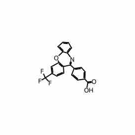 O=C(O)c1ccc(C2=Nc3ccccc3Oc3cc(C(F)(F)F)ccc32)cc1